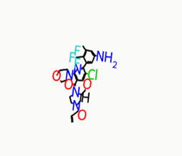 C=CC(=O)N1CCN2C(=O)c3c(N4CCOCC4)nc(-c4cc(N)cc(C)c4C(F)(F)F)c(Cl)c3OC[C@H]2C1